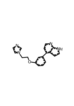 c1cc(OCCn2ccnc2)cc(-c2ccnc3[nH]ccc23)c1